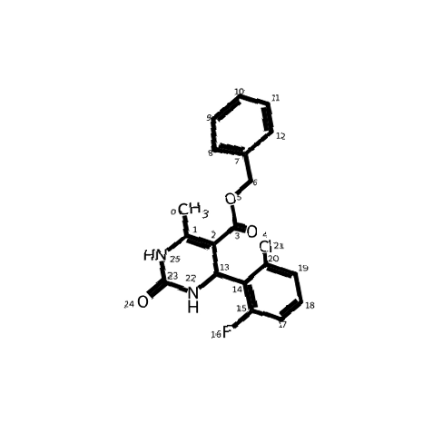 CC1=C(C(=O)OCc2ccccc2)C(c2c(F)cccc2Cl)NC(=O)N1